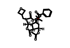 CC(C)(C)[C@]1(O)C[C@@H]2OC(=O)C[C@@]23C(=O)O[C@@H]2N(CC4COC4)C(=O)[C@H](OC(=O)c4ccccc4)[C@]213